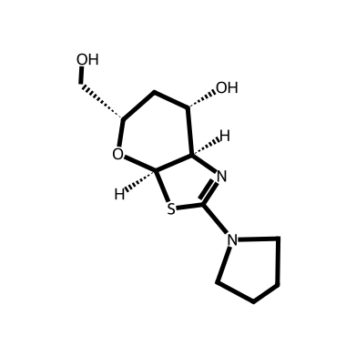 OC[C@@H]1C[C@H](O)[C@H]2N=C(N3CCCC3)S[C@H]2O1